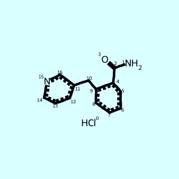 Cl.NC(=O)c1ccccc1Cc1cccnc1